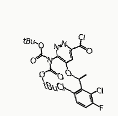 CC(Oc1cc(C(=O)Cl)nnc1N(C(=O)OC(C)(C)C)C(=O)OC(C)(C)C)c1c(Cl)ccc(F)c1Cl